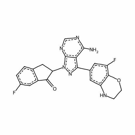 Nc1ncnc2c1c(-c1cc(F)c3c(c1)NCCO3)nn2C1Cc2ccc(F)cc2C1=O